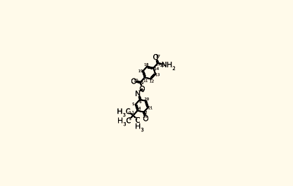 CC(C)(C)C1=CC(=NOC(=O)c2ccc(C(N)=O)cc2)C=CC1=O